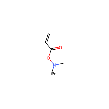 C=CC(=O)ON(C)C(C)C